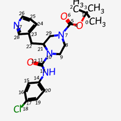 CC(C)(C)OC(=O)N1CCN(C(=O)Nc2ccc(Cl)cc2)C(Cc2cccnc2)C1